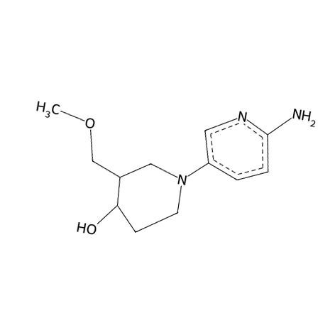 COCC1CN(c2ccc(N)nc2)CCC1O